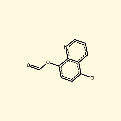 O=COc1ccc(Cl)c2cccnc12